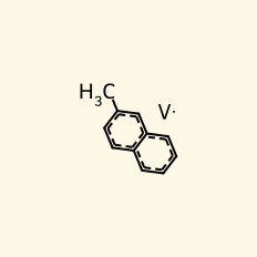 Cc1ccc2ccccc2c1.[V]